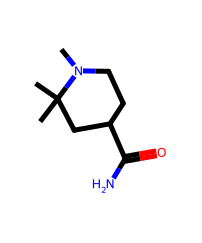 CN1CCC(C(N)=O)CC1(C)C